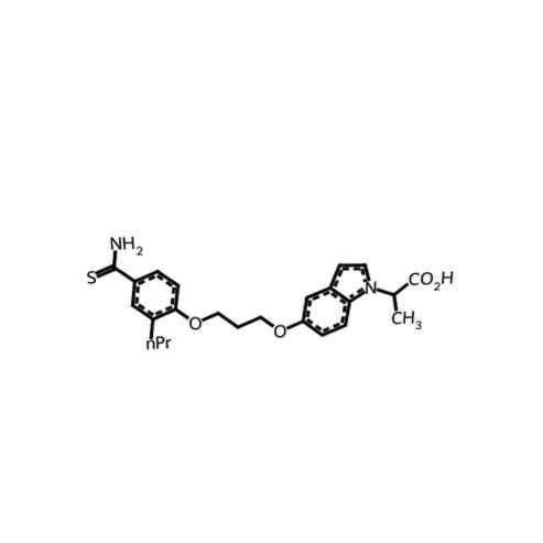 CCCc1cc(C(N)=S)ccc1OCCCOc1ccc2c(ccn2C(C)C(=O)O)c1